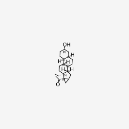 CC[C@]12CC[C@H]3[C@@H](CC[C@@H]4C[C@H](O)CC[C@@H]43)[C@@H]1CC1C[C@]12C(C)=O